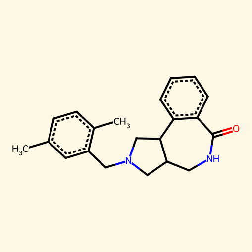 Cc1ccc(C)c(CN2CC3CNC(=O)c4ccccc4C3C2)c1